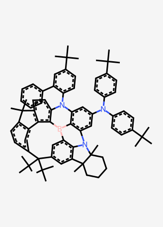 CC(C)(C)c1ccc(N(c2ccc(C(C)(C)C)cc2)c2cc3c4c(c2)N2c5c6cc(cc5C5(C)CCCCC25C)C(C(C)(C)C)(C(C)(C)C)c2ccc5c(c2)-c2c(ccc(c2B64)N3c2ccc(C(C)(C)C)cc2-c2ccccc2)C5(C)C)cc1